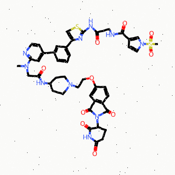 CN(CC(=O)NC1CCN(CCOc2ccc3c(c2)C(=O)N(C2CCC(=O)NC2=O)C3=O)CC1)c1cc(-c2cccc(-c3csc(NC(=O)CNC(=O)c4ccn(S(C)(=O)=O)c4)n3)c2)ccn1